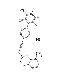 Cc1[nH]c(C)c(-c2ccc(C#CCN3CCc4cccc(C(F)(F)F)c4C3)cc2)c(=O)c1Cl.Cl